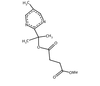 COC(=O)CCC(=O)OC(C)(C)c1ncc(C)cn1